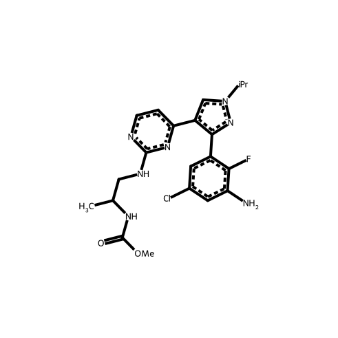 COC(=O)NC(C)CNc1nccc(-c2cn(C(C)C)nc2-c2cc(Cl)cc(N)c2F)n1